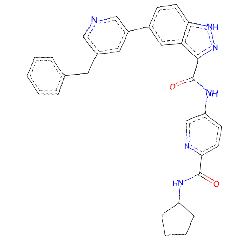 O=C(NC1CCCC1)c1ccc(NC(=O)c2n[nH]c3ccc(-c4cncc(Cc5ccccc5)c4)cc23)cn1